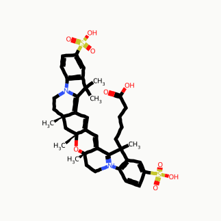 CC1(C)C2=C3C=C4C=C5C6=[N+](CC[C@]5(C)O[C@]4(C)C[C@]3(C)CCN2c2ccc(S(=O)(=O)O)cc21)c1ccc(S(=O)(=O)O)cc1C6(C)CCCCC(=O)O